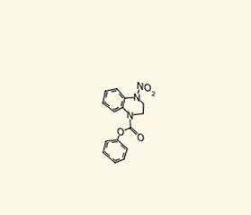 O=C(Oc1ccccc1)N1CCN([N+](=O)[O-])c2ccccc21